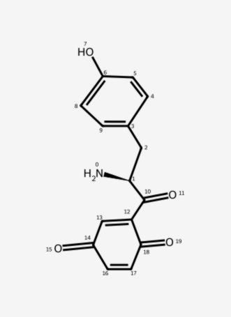 N[C@@H](Cc1ccc(O)cc1)C(=O)C1=CC(=O)C=CC1=O